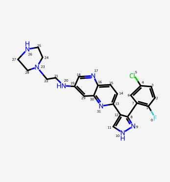 Fc1ccc(Cl)cc1-c1n[nH]cc1-c1ccc2ncc(NCCN3CCNCC3)cc2n1